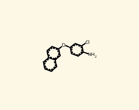 Nc1ccc(Oc2ccc3ccccc3c2)cc1Cl